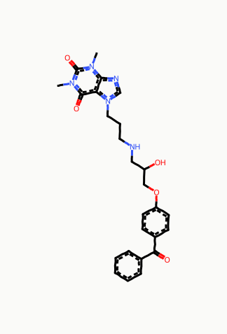 Cn1c(=O)c2c(ncn2CCCNCC(O)COc2ccc(C(=O)c3ccccc3)cc2)n(C)c1=O